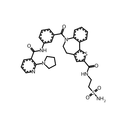 NS(=O)(=O)CCNC(=O)c1cc2c(s1)-c1ccccc1N(C(=O)c1cccc(NC(=O)c3cccnc3N3CCCC3)c1)CC2